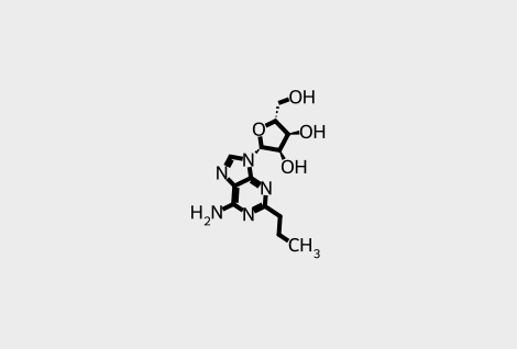 CCCc1nc(N)c2ncn([C@@H]3O[C@H](CO)[C@@H](O)[C@H]3O)c2n1